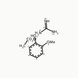 CCOC(C)=O.COc1ccccc1O.N=C(N)N